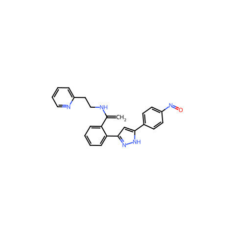 C=C(NCCc1ccccn1)c1ccccc1-c1cc(-c2ccc(N=O)cc2)[nH]n1